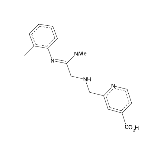 CN/C(CNCc1cc(C(=O)O)ccn1)=N\c1ccccc1C